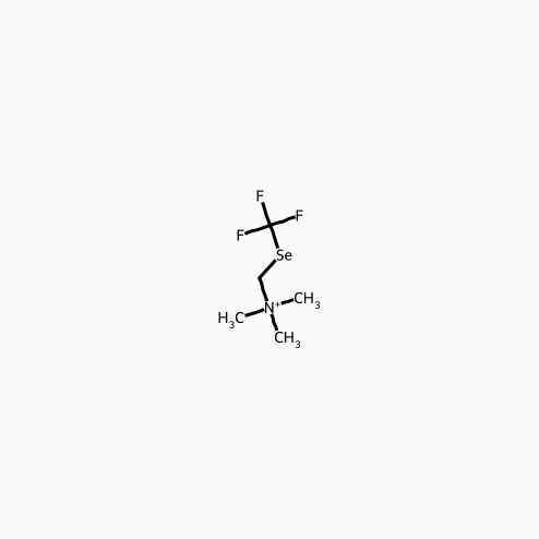 C[N+](C)(C)C[Se]C(F)(F)F